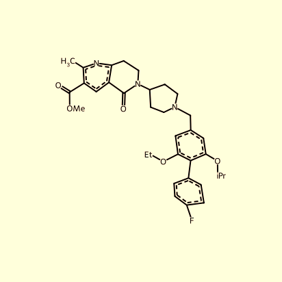 CCOc1cc(CN2CCC(N3CCc4nc(C)c(C(=O)OC)cc4C3=O)CC2)cc(OC(C)C)c1-c1ccc(F)cc1